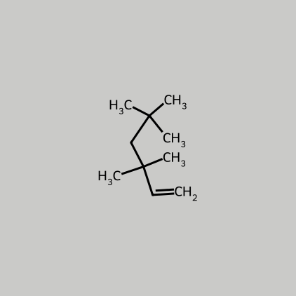 C=CC(C)(C)CC(C)(C)C